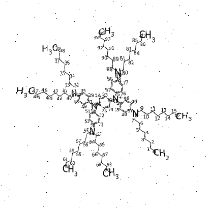 CCCCCCCCN(CCCCCCCC)c1ccc([N+](=C2C=CC(=[N+](c3ccc(N(CCCCCCCC)CCCCCCCC)cc3)c3ccc(N(CCCCCCCC)CCCCCCCC)cc3)C=C2)c2ccc(N(CCCCCCCC)CCCCCCCC)cc2)cc1